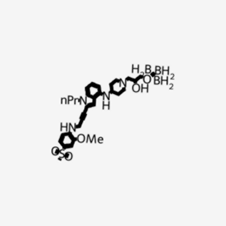 BC(B)(B)OCC(O)CN1CCC(Nc2cccc3c2cc(C#CCNc2ccc(S(C)(=O)=O)cc2OC)n3CCC)CC1